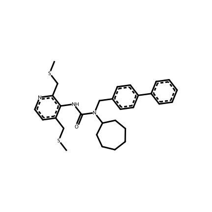 CSCc1ccnc(CSC)c1NC(=O)N(Cc1ccc(-c2ccccc2)cc1)C1CCCCCC1